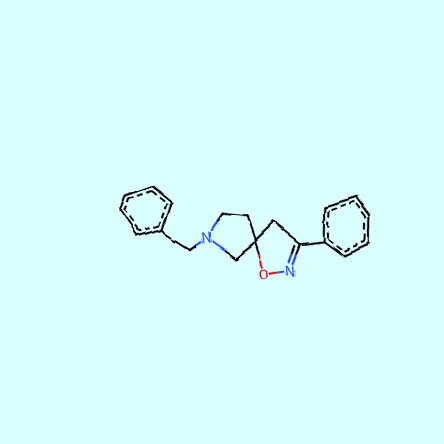 c1ccc(CN2CCC3(CC(c4ccccc4)=NO3)C2)cc1